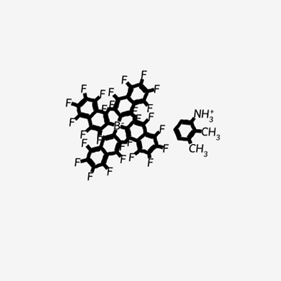 Cc1cccc([NH3+])c1C.Fc1c(F)c(F)c2c(F)c([B-](c3c(F)c(F)c4c(F)c(F)c(F)c(F)c4c3F)(c3c(F)c(F)c4c(F)c(F)c(F)c(F)c4c3F)c3c(F)c(F)c4c(F)c(F)c(F)c(F)c4c3F)c(F)c(F)c2c1F